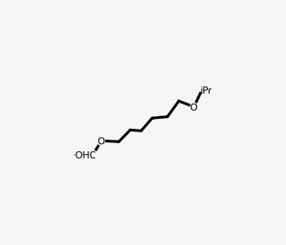 CC(C)OCCCCCCO[C]=O